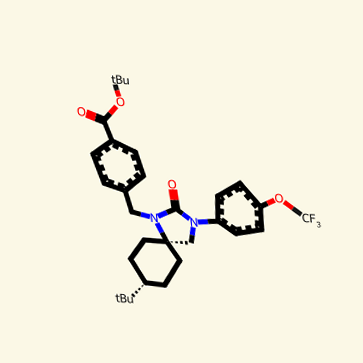 CC(C)(C)OC(=O)c1ccc(CN2C(=O)N(c3ccc(OC(F)(F)F)cc3)C[C@]23CC[C@@H](C(C)(C)C)CC3)cc1